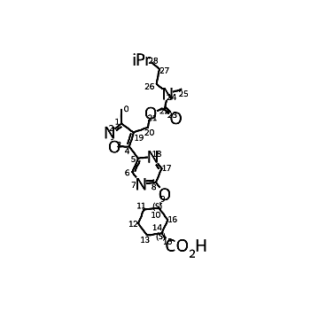 Cc1noc(-c2cnc(O[C@H]3CCC[C@H](C(=O)O)C3)cn2)c1COC(=O)N(C)CCC(C)C